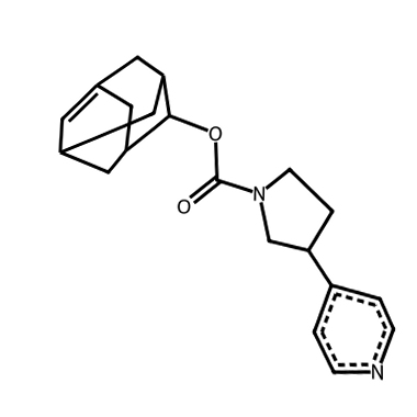 O=C(OC1C2CC3=CC(C2)CC1C3)N1CCC(c2ccncc2)C1